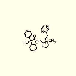 C[N+]1(CCc2cnccn2)CCCC1COC(=O)C(O)(c1ccccc1)C1CCCCC1